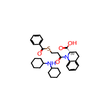 C1CCC(NC2CCCCC2)CC1.O=C(SCCC(=O)N1c2ccccc2CC[C@H]1C(=O)O)c1ccccc1